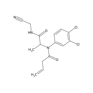 C=CCC(=O)N(c1ccc(Cl)c(Cl)c1)C(C)C(=O)NCC#N